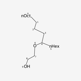 [CH2]CCCCCCCCCCC(CCCCCC)OCCO